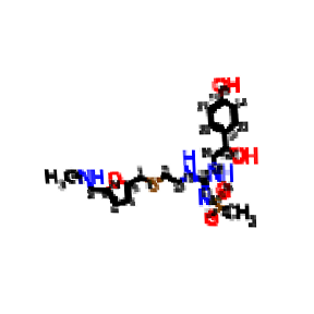 CNCc1ccc(CSCCN/C(=N/S(C)(=O)=O)NCC(O)c2ccc(O)cc2)o1